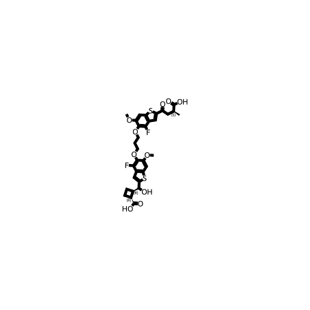 COc1cc2sc(C(=O)C[C@H](C)C(=O)O)cc2c(F)c1OCCCOc1c(OC)cc2sc(C(O)[C@@H]3CC[C@H]3C(=O)O)cc2c1F